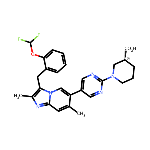 Cc1cc2nc(C)c(Cc3ccccc3OC(F)F)n2cc1-c1cnc(N2CCC[C@H](C(=O)O)C2)nc1